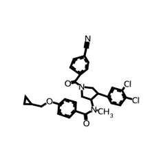 CN(C(=O)c1ccc(OCC2CC2)cc1)C1CN(C(=O)c2ccc(C#N)cc2)CC1c1ccc(Cl)c(Cl)c1